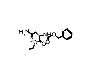 CCOC(=O)[C@@H](CC(N)=O)NC(=O)OCc1ccccc1